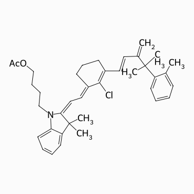 C=C(/C=C/C1=C(Cl)C(=C/C=C2/N(CCCCOC(C)=O)c3ccccc3C2(C)C)/CCC1)C(C)(C)c1ccccc1C